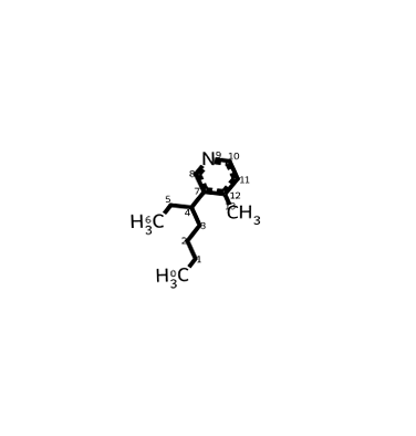 CCCCC(CC)c1cnccc1C